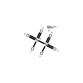 O=S(=O)([O-])S(=O)(=O)[O-].[Mn+2]